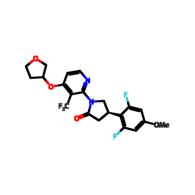 COc1cc(F)c([C@H]2CC(=O)N(c3nccc(OC4CCOC4)c3C(F)(F)F)C2)c(F)c1